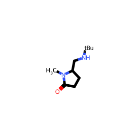 CN1C(=O)CCC1CNC(C)(C)C